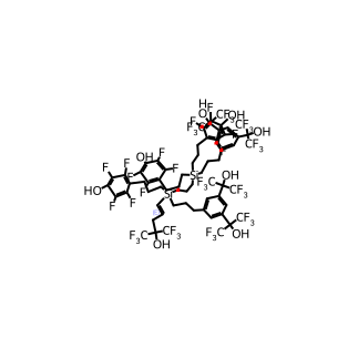 Oc1c(F)c(F)c(CCC[Si](/C=C/CC(O)(C(F)(F)F)C(F)(F)F)(CCCc2cc(C(O)(C(F)(F)F)C(F)(F)F)cc(C(O)(C(F)(F)F)C(F)(F)F)c2)CCC[Si](CCCc2cc(C(O)(C(F)(F)F)C(F)(F)F)cc(C(O)(C(F)(F)F)C(F)(F)F)c2)(CCCc2c(F)c(F)c(O)c(F)c2F)CCCc2c(F)c(F)c(O)c(F)c2F)c(F)c1F